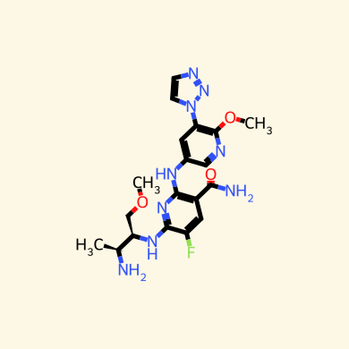 COC[C@@H](Nc1nc(Nc2cnc(OC)c(-n3ccnn3)c2)c(C(N)=O)cc1F)[C@H](C)N